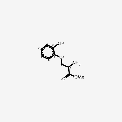 COC(=O)C(N)COc1ccccc1Cl